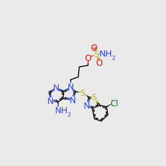 Nc1ncnc2c1nc(Sc1nc3cccc(Cl)c3s1)n2CCCCOS(N)(=O)=O